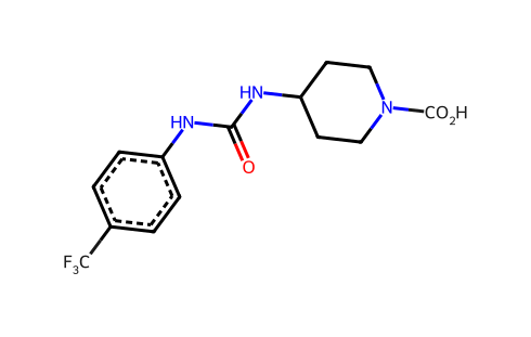 O=C(Nc1ccc(C(F)(F)F)cc1)NC1CCN(C(=O)O)CC1